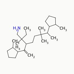 C=C(C1CCCC1C)C(CCC(C)(C)C(C)C1CCCC1C)C(C)(CC)CN